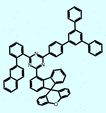 c1ccc(-c2cc(-c3ccccc3)cc(-c3ccc(-c4nc(-c5ccccc5-c5ccc6ccccc6c5)nc(-c5cccc6c5-c5ccccc5C65c6ccccc6Oc6ccccc65)n4)cc3)c2)cc1